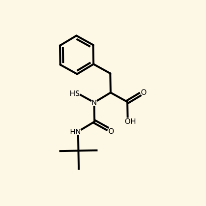 CC(C)(C)NC(=O)N(S)C(Cc1ccccc1)C(=O)O